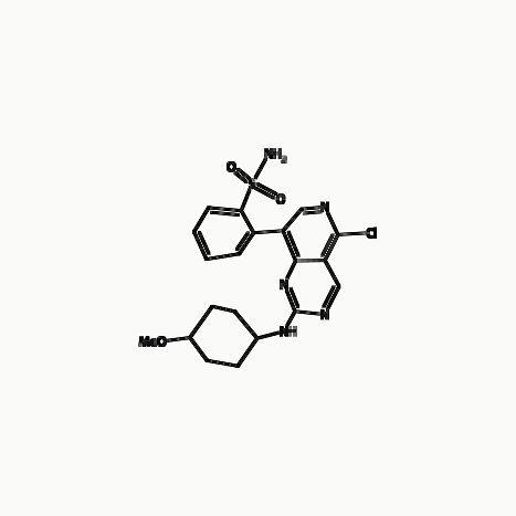 COC1CCC(Nc2ncc3c(Cl)ncc(-c4ccccc4S(N)(=O)=O)c3n2)CC1